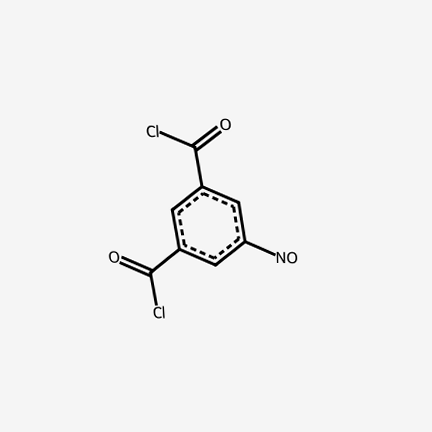 O=Nc1cc(C(=O)Cl)cc(C(=O)Cl)c1